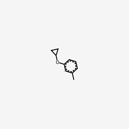 Cc1[c]c(OC2CC2)ccc1